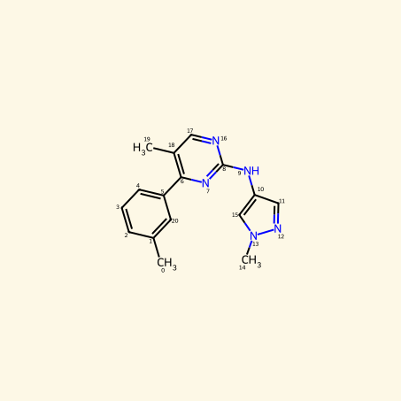 Cc1cccc(-c2nc(Nc3cnn(C)c3)ncc2C)c1